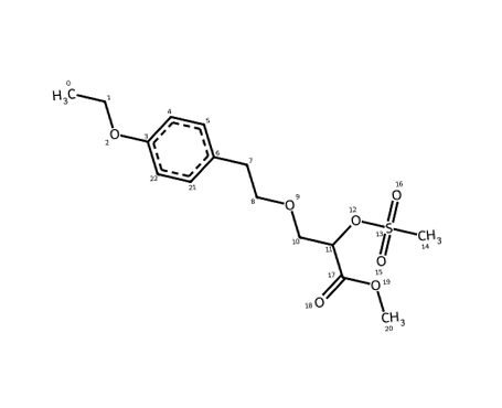 CCOc1ccc(CCOCC(OS(C)(=O)=O)C(=O)OC)cc1